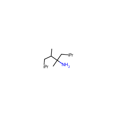 CC(C)CC(C)C(C)(N)CC(C)C